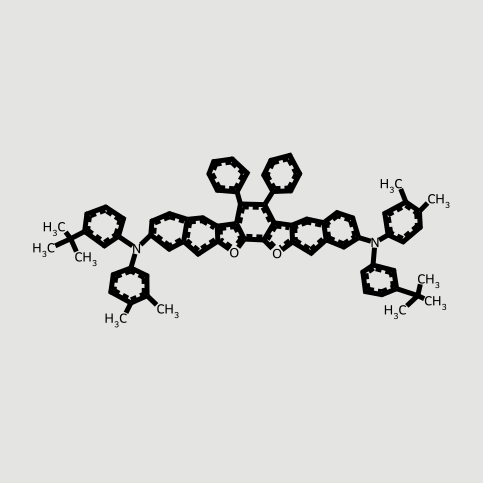 Cc1ccc(N(c2cccc(C(C)(C)C)c2)c2ccc3cc4c(cc3c2)oc2c3oc5cc6cc(N(c7cccc(C(C)(C)C)c7)c7ccc(C)c(C)c7)ccc6cc5c3c(-c3ccccc3)c(-c3ccccc3)c42)cc1C